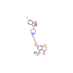 Cc1cc(OCCCCN2CCC(c3noc4cc(F)ccc34)CC2)cc2c1C(=O)CCO2